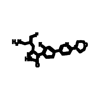 NC/C(=C/F)Cc1n[nH]c(=O)n1-c1ccc(-c2ccc(N3CCOCC3)nc2)cc1F